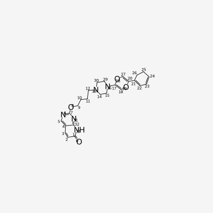 O=c1ccc2cnc(OCCCCN3CCN(C4=COC(C5=CC=CCC5)=CO4)CC3)nc2[nH]1